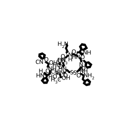 CC(C)(Cc1c[nH]c2ccccc12)NCC(O)COc1ccccc1C#N.CC(O)[C@@H]1NC(=O)[C@H](CCCCN)NC(=O)[C@@H](Cc2c[nH]c3ccccc23)NC(=O)[C@H](Cc2ccccc2)NC(=O)[C@@H](NC(=O)[C@H](N)Cc2ccccc2)CSSC[C@@H](C(=O)N[C@H](CO)[C@@H](C)O)NC1=O